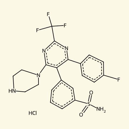 Cl.NS(=O)(=O)c1cccc(-c2c(-c3ccc(F)cc3)nc(C(F)(F)F)nc2N2CCNCC2)c1